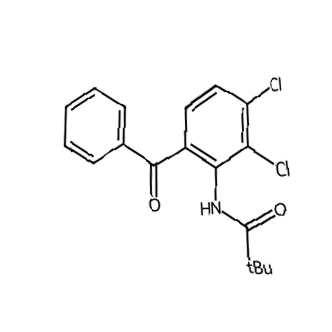 CC(C)(C)C(=O)Nc1c(C(=O)c2ccccc2)ccc(Cl)c1Cl